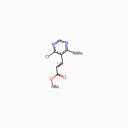 CCCCOC(=O)/C=C/c1c(Cl)ncnc1NC